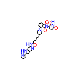 CN1CCC[C@@H]1c1cc2cnc(NC(=O)CCCCC3CCN(c4cccc5c4C(=O)N(C4CCC(=O)NC4=O)C5=O)CC3)cc2[nH]1